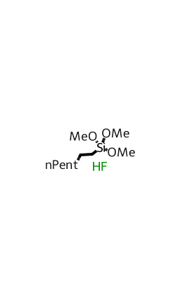 CCCCCCC[Si](OC)(OC)OC.F